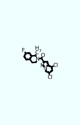 CC1c2cc(F)ccc2CCN1C(=O)c1cc2c(Cl)cc(Cl)cn2n1